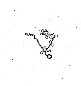 CCCCCCCCCCCCCCCCCCNC(=O)C(Cc1ccccc1)NC(=O)CCC(=O)OC[C@@H]1CNC[C@H](n2cc(C)c(=O)[nH]c2=O)O1